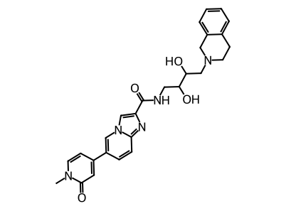 Cn1ccc(-c2ccc3nc(C(=O)NCC(O)C(O)CN4CCc5ccccc5C4)cn3c2)cc1=O